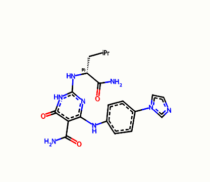 CC(C)C[C@@H](Nc1nc(Nc2ccc(-n3ccnc3)cc2)c(C(N)=O)c(=O)[nH]1)C(N)=O